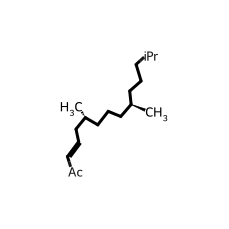 CC(=O)/C=C/C[C@H](C)CCC[C@H](C)CCCC(C)C